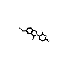 O=C1CCC(N2Cc3ccc(CBr)cc3C2=O)C(=O)N1